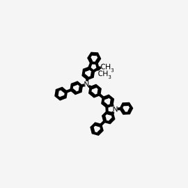 CC1(C)c2ccccc2-c2ccc(N(c3ccc(-c4ccccc4)cc3)c3ccc(-c4ccc5c(c4)c4cc(-c6ccccc6)ccc4n5-c4ccccc4)cc3)cc21